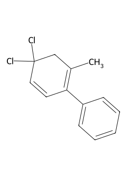 CC1=C(c2ccccc2)C=CC(Cl)(Cl)C1